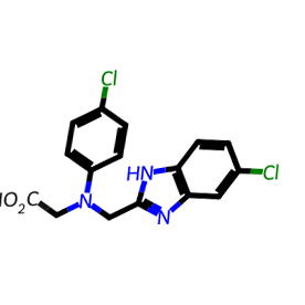 O=C(O)CN(Cc1nc2cc(Cl)ccc2[nH]1)c1ccc(Cl)cc1